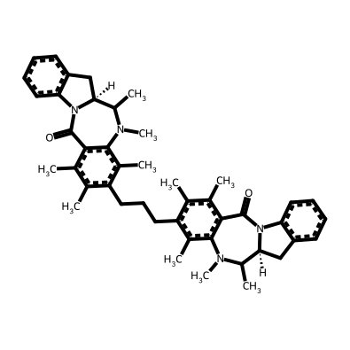 Cc1c(C)c2c(c(C)c1CCCc1c(C)c(C)c3c(c1C)N(C)C(C)[C@@H]1Cc4ccccc4N1C3=O)N(C)C(C)[C@@H]1Cc3ccccc3N1C2=O